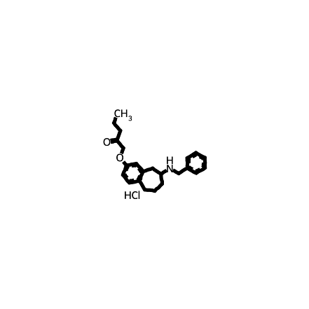 CCCC(=O)COc1ccc2c(c1)CC(NCc1ccccc1)CCC2.Cl